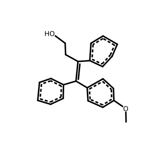 COc1ccc(/C(=C(/CCO)c2ccccc2)c2ccccc2)cc1